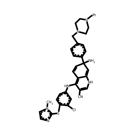 CC(C)N1CCN(Cc2ccc(C3(N)C=CC4=C(Nc5ccc(Sc6nccn6C)c(Cl)c5)C(C#N)=CNC4=C3)cc2)CC1